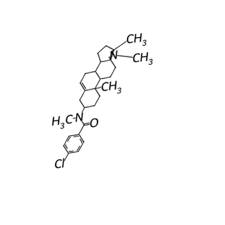 CC1C2CCC3C4CC=C5CC(N(C)C(=O)c6ccc(Cl)cc6)CCC5(C)C4CCC32CN1C